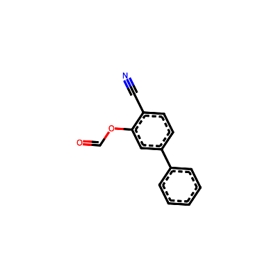 N#Cc1ccc(-c2ccccc2)cc1OC=O